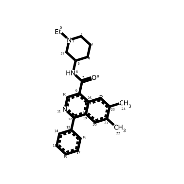 CCN1CCCC(NC(=O)c2cnc(-c3ccccc3)c3cc(C)c(C)cc23)C1